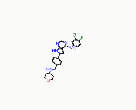 Fc1ccc(Nc2ncnc3[nH]c(-c4ccc(CNC5CCOCC5)cc4)cc23)cc1Cl